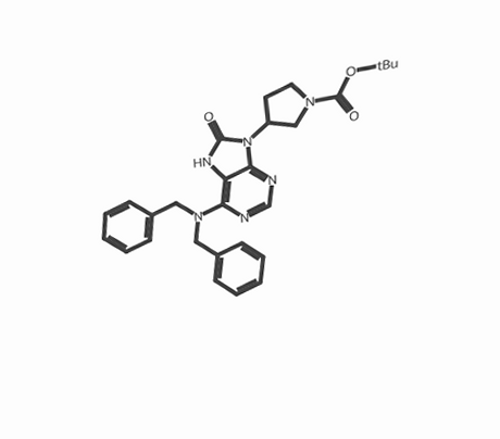 CC(C)(C)OC(=O)N1CCC(n2c(=O)[nH]c3c(N(Cc4ccccc4)Cc4ccccc4)ncnc32)C1